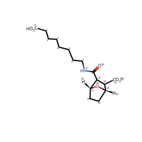 O=C(O)CCCCCCCNC(=O)C1C(C(=O)O)[C@@H]2CC[C@H]1O2